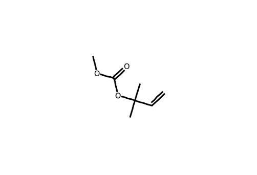 C=CC(C)(C)OC(=O)OC